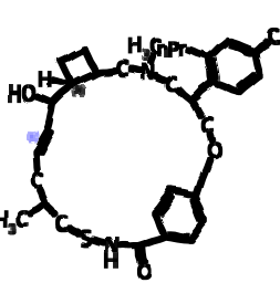 CCCc1cc(Cl)ccc1C1COc2ccc(cc2)C(=O)NSCC(C)C/C=C/C(O)[C@@H]2CCC2CN(C)C1